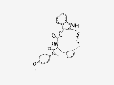 COc1ccc(N(C)C(=O)[C@@H]2Cc3cccc(c3)CCSCc3[nH]c4ccccc4c3CC(=O)N2)cc1